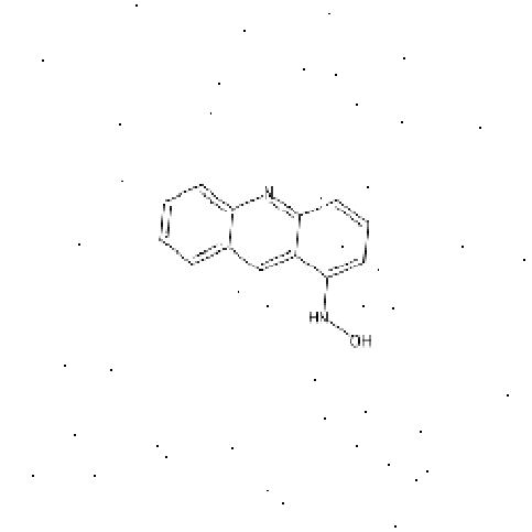 ONc1cccc2nc3ccccc3cc12